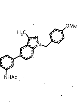 COc1ccc(Cn2nc(C)c3cc(-c4cccc(NC(C)=O)c4)cnc32)cc1